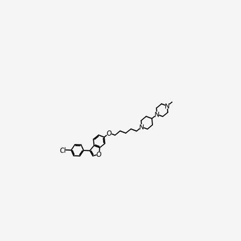 CN1CCN(C2CCN(CCCCCOc3ccc4c(-c5ccc(Cl)cc5)coc4c3)CC2)CC1